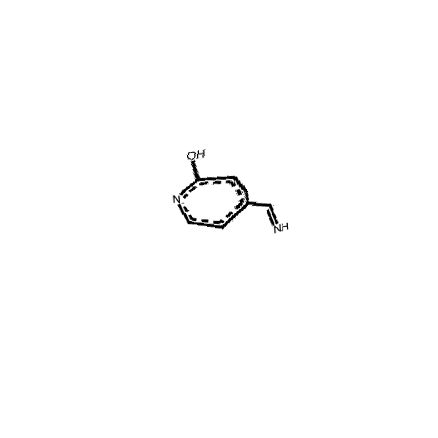 N=[C]c1ccnc(O)c1